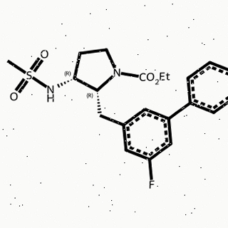 CCOC(=O)N1CC[C@@H](NS(C)(=O)=O)[C@H]1Cc1cc(F)cc(-c2ccccc2)c1